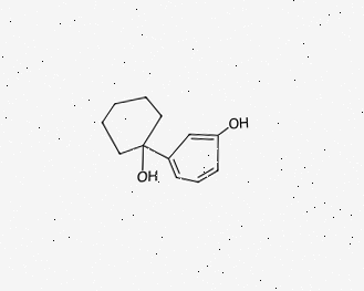 Oc1cccc(C2(O)CCCCC2)c1